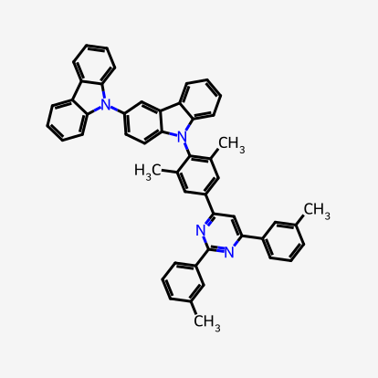 Cc1cccc(-c2cc(-c3cc(C)c(-n4c5ccccc5c5cc(-n6c7ccccc7c7ccccc76)ccc54)c(C)c3)nc(-c3cccc(C)c3)n2)c1